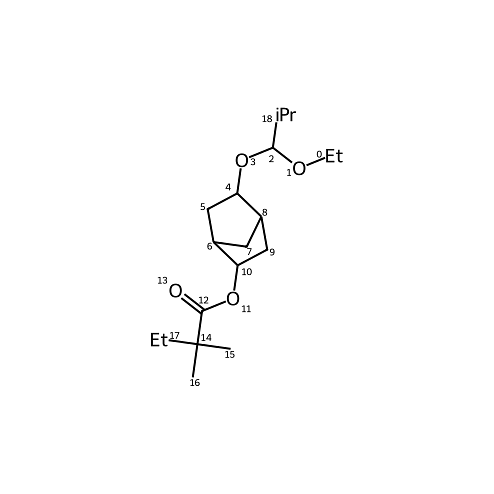 CCOC(OC1CC2CC1CC2OC(=O)C(C)(C)CC)C(C)C